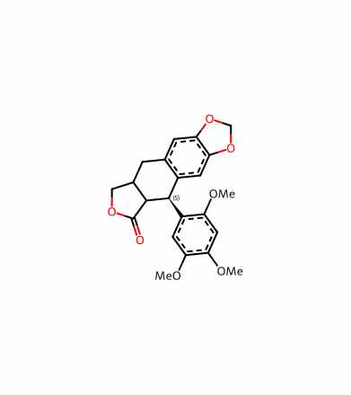 COc1cc(OC)c([C@@H]2c3cc4c(cc3CC3COC(=O)C32)OCO4)cc1OC